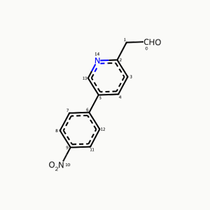 O=CCc1ccc(-c2ccc([N+](=O)[O-])cc2)cn1